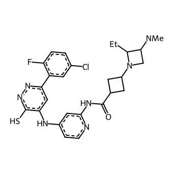 CCC1C(NC)CN1C1CC(C(=O)Nc2cc(Nc3cc(-c4cc(Cl)ccc4F)nnc3S)ccn2)C1